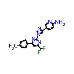 Nc1ccc(-c2cn(-c3nc(-c4ccc(C(F)(F)F)cc4)cc(C(F)F)n3)cn2)cn1